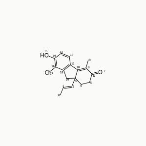 CC=CC12CCC(=O)C(C)=C1c1ccc(O)c(Cl)c1C2